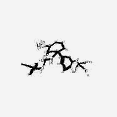 CC(C)(C)OC(=O)NC1(c2cccc(OC(F)(F)F)c2)CCCC(O)C1=O